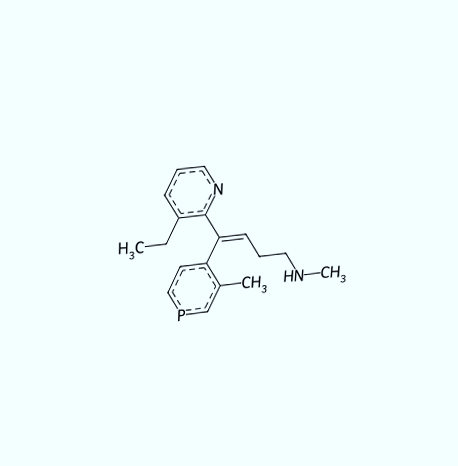 CCc1cccnc1/C(=C/CCNC)c1ccpcc1C